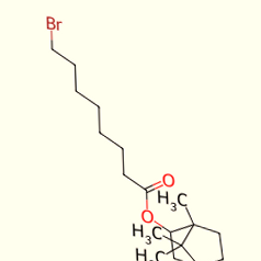 CC1(C)C2CCC1(C)C(OC(=O)CCCCCCCBr)C2